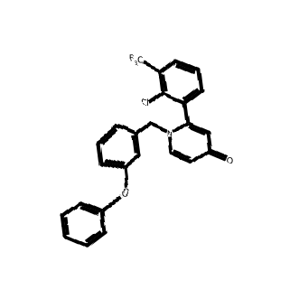 O=c1ccn(Cc2cccc(Oc3ccccc3)c2)c(-c2cccc(C(F)(F)F)c2Cl)c1